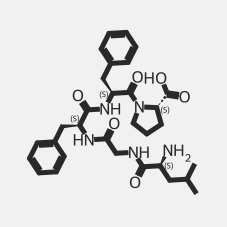 CC(C)C[C@H](N)C(=O)NCC(=O)N[C@@H](Cc1ccccc1)C(=O)N[C@@H](Cc1ccccc1)C(=O)N1CCC[C@H]1C(=O)O